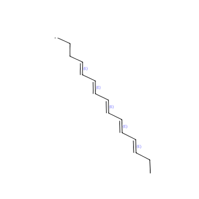 [CH2]CC/C=C/C=C/C=C/C=C/C=C/CC